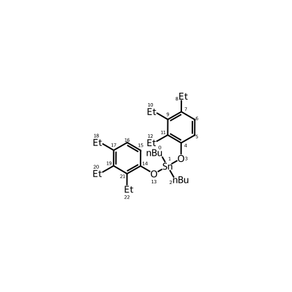 CCC[CH2][Sn]([CH2]CCC)([O]c1ccc(CC)c(CC)c1CC)[O]c1ccc(CC)c(CC)c1CC